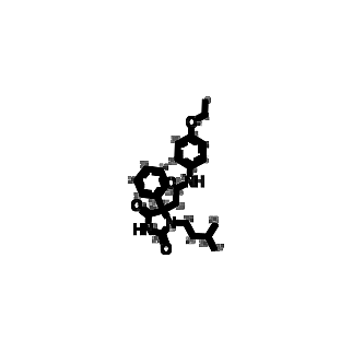 CCOc1ccc(NC(=O)CC2(c3ccccc3)C(=O)NC(=O)N2CCC(C)C)cc1